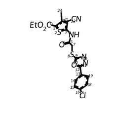 CCOC(=O)c1sc(NC(=O)CSc2nnc(-c3ccc(Cl)cc3)o2)c(C#N)c1C